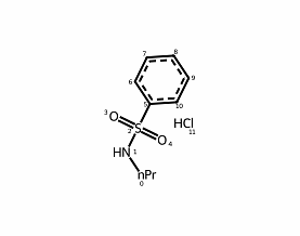 CCCNS(=O)(=O)c1ccccc1.Cl